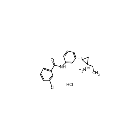 CC[C@]1(N)C[C@H]1c1cccc(NC(=O)c2cccc(Cl)c2)c1.Cl